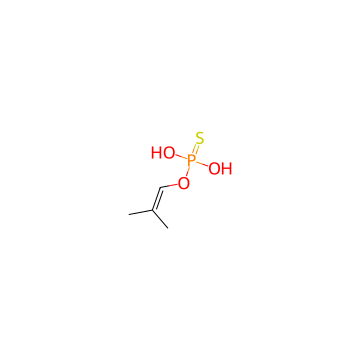 CC(C)=COP(O)(O)=S